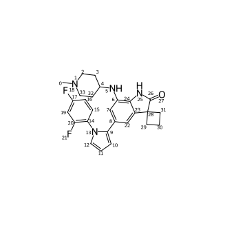 CN1CCC(Nc2cc(-c3cccn3-c3ccc(F)cc3F)cc3c2NC(=O)C32CCC2)CC1